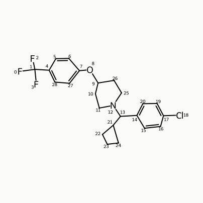 FC(F)(F)c1ccc(OC2CCN(C(c3ccc(Cl)cc3)C3CCC3)CC2)cc1